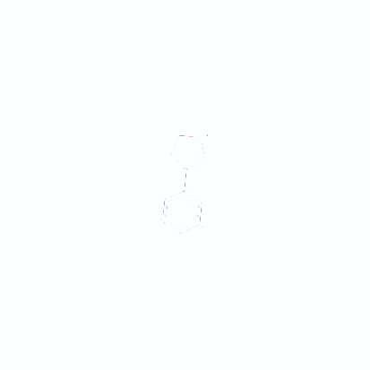 [c]1cncc(C2CCON2)c1